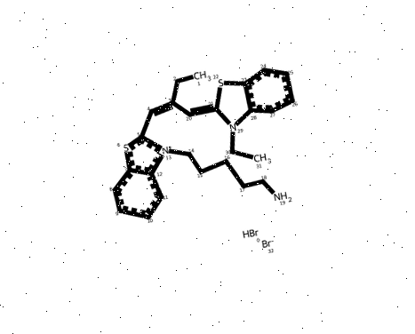 Br.CCC(=Cc1sc2ccccc2[n+]1CCCCCN)C=C1Sc2ccccc2N1CC.[Br-]